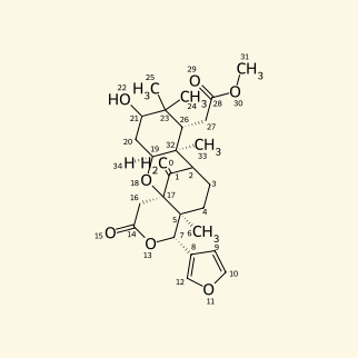 C=C1C2CC[C@@]3(C)[C@H](c4ccoc4)OC(=O)C[C@]13O[C@H]1CC(O)C(C)(C)[C@H](CC(=O)OC)[C@@]21C